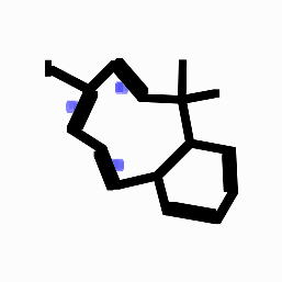 CC1(C)/C=C/C(I)=C\C=C\C2C=CC=CC21